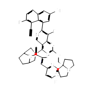 C#Cc1c(F)ccc2cc(O)cc(-c3ncc4c(N5CC6CCC(C5)N6C(=O)/C(F)=C/c5ccncn5)nc(OC[C@@]56CCCN5C[C@H](F)C6)nc4c3F)c12